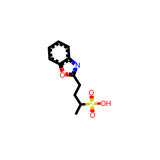 CC(CCc1nc2ccccc2o1)S(=O)(=O)O